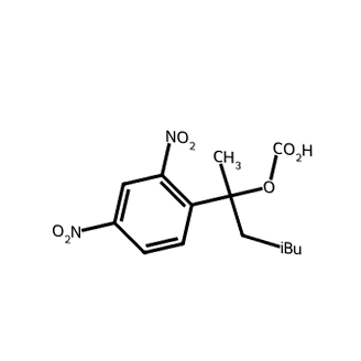 CCC(C)CC(C)(OC(=O)O)c1ccc([N+](=O)[O-])cc1[N+](=O)[O-]